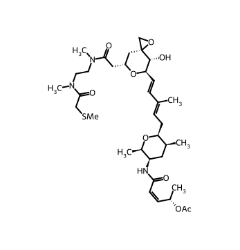 CSCC(=O)N(C)CCN(C)C(=O)C[C@@H]1C[C@@]2(CO2)[C@H](O)[C@@H](/C=C/C(C)=C/C[C@@H]2O[C@H](C)[C@H](NC(=O)/C=C\[C@H](C)OC(C)=O)C[C@@H]2C)O1